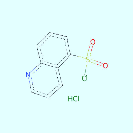 Cl.O=S(=O)(Cl)c1cccc2ncccc12